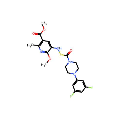 COC(=O)c1cc(NSC(=O)N2CCN(c3cc(F)cc(F)c3)CC2)c(OC)nc1C